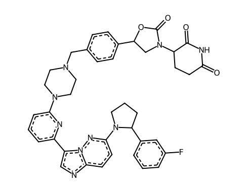 O=C1CCC(N2CC(c3ccc(CN4CCN(c5cccc(-c6cnc7ccc(N8CCCC8c8cccc(F)c8)nn67)n5)CC4)cc3)OC2=O)C(=O)N1